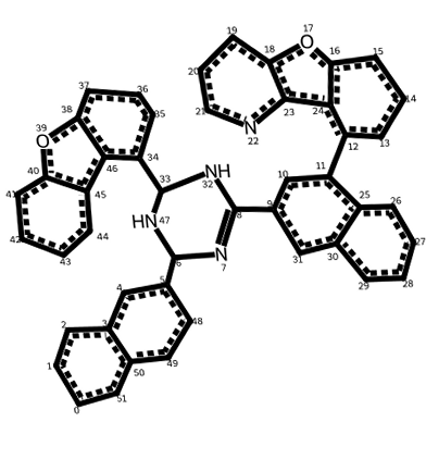 c1ccc2cc(C3N=C(c4cc(-c5cccc6oc7cccnc7c56)c5ccccc5c4)NC(c4cccc5oc6ccccc6c45)N3)ccc2c1